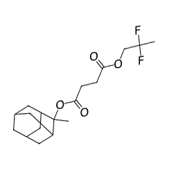 CC(F)(F)COC(=O)CCC(=O)OC1(C)C2CC3CC(C2)CC1C3